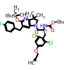 C#CCOc1cc(Cl)c(C[C@H](NC(=O)OC(C)(C)C)C(=O)N2CC(C)(C)c3nc(O[Si](C)(C)C(C)(C)C)c(Cc4ccc(F)cc4)cc32)c(Cl)c1